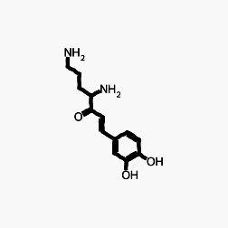 NCCCC(N)C(=O)C=Cc1ccc(O)c(O)c1